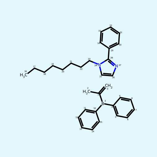 C=C(C)B(c1ccccc1)c1ccccc1.CCCCCCCCn1ccnc1-c1ccccc1